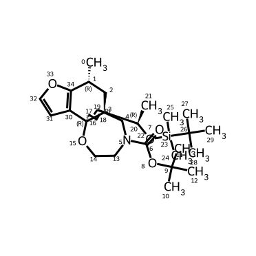 C[C@@H]1C[C@@]23CN(C(=O)OC(C)(C)C)CCO[C@@]2(CC=C3[C@@H](C)O[Si](C)(C)C(C)(C)C)c2ccoc21